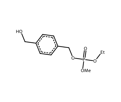 CCOP(=O)(OC)OCc1ccc(CO)cc1